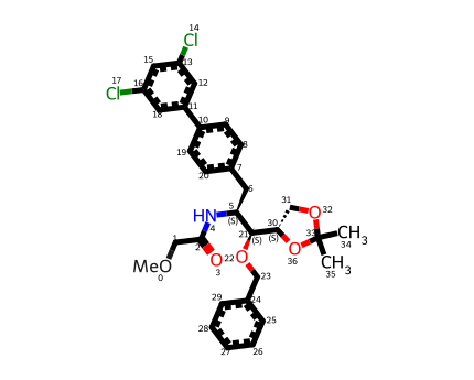 COCC(=O)N[C@@H](Cc1ccc(-c2cc(Cl)cc(Cl)c2)cc1)[C@H](OCc1ccccc1)[C@@H]1COC(C)(C)O1